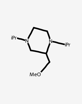 COCC1CN(C(C)C)CCN1C(C)C